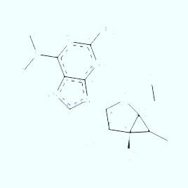 CC1[C@]2(CO)O[C@@H](n3cnc4c(N(C)C)nc(N)nc43)[C@@H](F)[C@@]12O